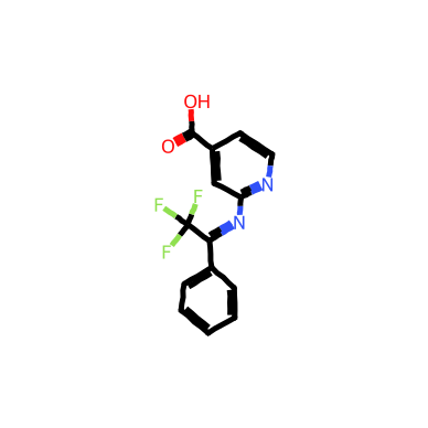 O=C(O)c1ccnc(N=C(c2ccccc2)C(F)(F)F)c1